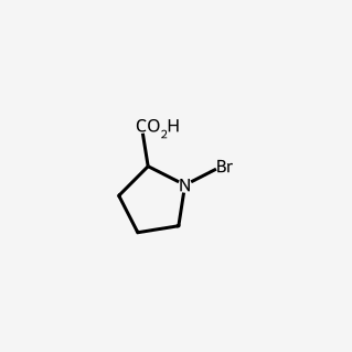 O=C(O)C1CCCN1Br